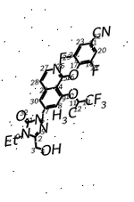 CCn1c(CO)nn(-c2cc(OC(C)C(F)(F)F)c3c(Oc4c(F)cc(C#N)cc4F)nccc3c2)c1=O